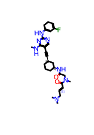 CNc1nc(NC2=CC(F)=CCC2)ncc1C#C[C@@H]1CCC[C@H](NC(=O)CN(C)C(=O)/C=C/CN(C)C)C1